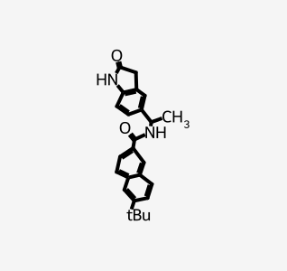 CC(NC(=O)c1ccc2cc(C(C)(C)C)ccc2c1)c1ccc2c(c1)CC(=O)N2